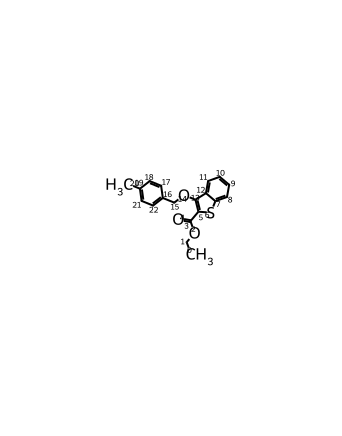 CCOC(=O)c1sc2ccccc2c1OCc1ccc(C)cc1